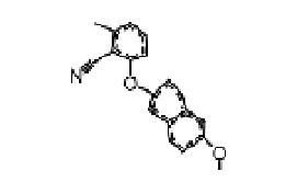 COc1ccc2cc(Oc3cccc(C)c3C#N)ccc2c1